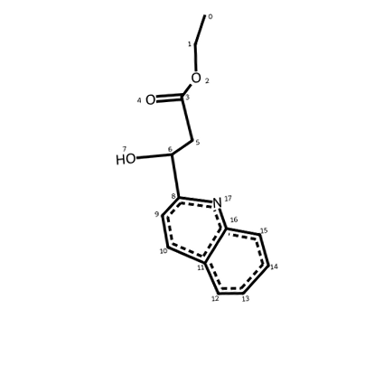 CCOC(=O)CC(O)c1ccc2ccccc2n1